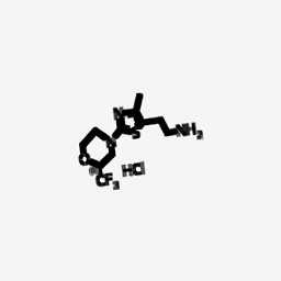 Cc1nc(N2CCO[C@@H](C(F)(F)F)C2)sc1CCN.Cl